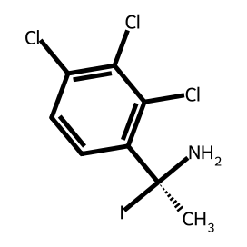 C[C@](N)(I)c1ccc(Cl)c(Cl)c1Cl